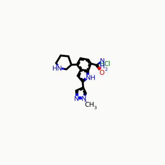 Cl.Cn1cc(-c2cc3c(C4CCCNC4)ccc(C(N)=O)c3[nH]2)cn1